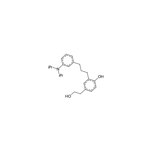 CC(C)N(c1cccc(CCCc2cc(CCO)ccc2O)c1)C(C)C